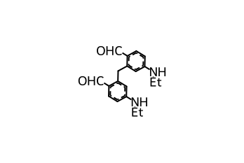 CCNc1ccc(C=O)c(Cc2cc(NCC)ccc2C=O)c1